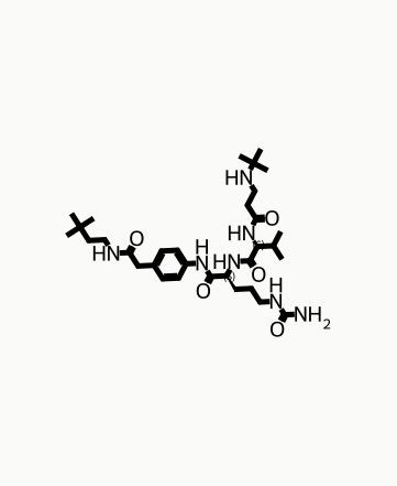 CC(C)[C@H](NC(=O)CCNC(C)(C)C)C(=O)N[C@@H](CCCNC(N)=O)C(=O)Nc1ccc(CC(=O)NCCC(C)(C)C)cc1